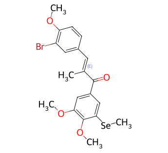 COc1ccc(/C=C(\C)C(=O)c2cc(OC)c(OC)c([Se]C)c2)cc1Br